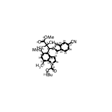 COC(=O)C(C)(C)C(c1c(OC)cc(C)c2c1ccn2C(=O)OC(C)(C)C)n1cc2ccc(C#N)cc2n1